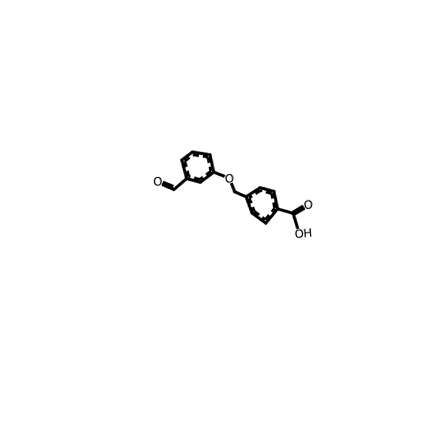 O=Cc1cccc(OCc2ccc(C(=O)O)cc2)c1